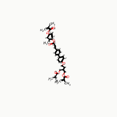 C=C(C)C(=O)OCC(CCOc1ccc(-c2ccc(/C=C/C(=O)Oc3ccc(OC(=O)C(=C)C)cc3C)cc2)cc1)COC(=O)C(=C)C